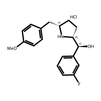 COc1ccc(C[C@@H]2CC[C@H]([C@@H](O)c3cccc(F)c3)N2)cc1.Cl